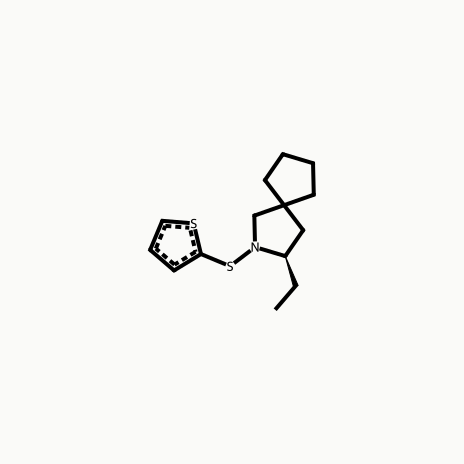 CC[C@@H]1CC2(CCCC2)CN1Sc1cccs1